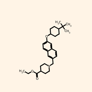 CCOC(=O)C1CCN(Cc2ccc3cc(OC4CCC(C(C)(C)C)CC4)ccc3c2)CC1